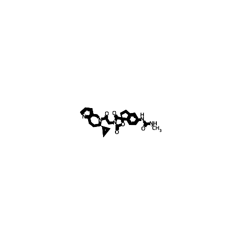 CNC(=O)Nc1ccc2c(c1)CC[C@]21OC(=O)N(CC(=O)N2Cc3cccnc3CC[C@H]2C2CC2)C1=O